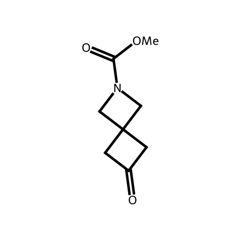 COC(=O)N1CC2(CC(=O)C2)C1